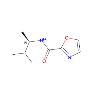 CC(C)[C@@H](C)NC(=O)c1ncco1